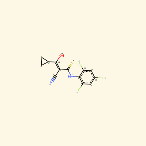 N#C/C(C(=S)Nc1c(F)cc(F)cc1F)=C(/O)C1CC1